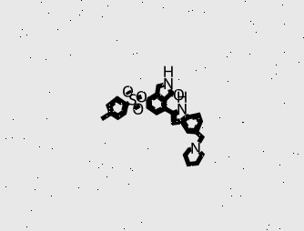 Cc1ccc(S(=O)(=O)Oc2ccc(-c3cc4cc(CN5CCCCC5)ccc4[nH]3)c3c2CNC3=O)cc1